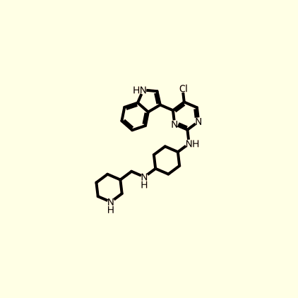 Clc1cnc(NC2CCC(NCC3CCCNC3)CC2)nc1-c1c[nH]c2ccccc12